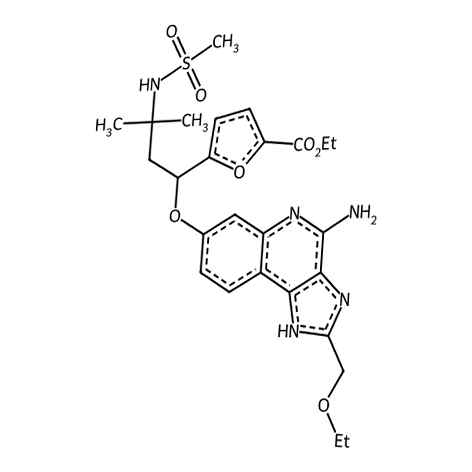 CCOCc1nc2c(N)nc3cc(OC(CC(C)(C)NS(C)(=O)=O)c4ccc(C(=O)OCC)o4)ccc3c2[nH]1